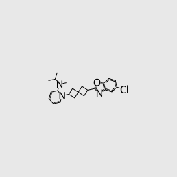 CC(C)N(C)C1C=CC=CN1C1CC2(CC(c3nc4cc(Cl)ccc4o3)C2)C1